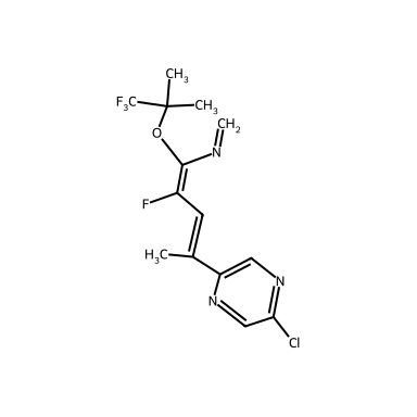 C=N/C(OC(C)(C)C(F)(F)F)=C(F)\C=C(/C)c1cnc(Cl)cn1